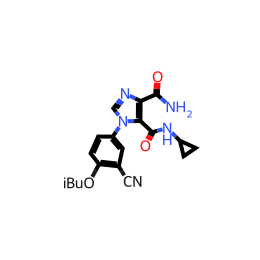 CC(C)COc1ccc(-n2cnc(C(N)=O)c2C(=O)NC2CC2)cc1C#N